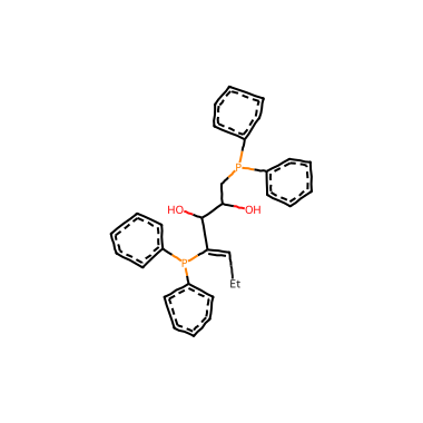 CCC=C(C(O)C(O)CP(c1ccccc1)c1ccccc1)P(c1ccccc1)c1ccccc1